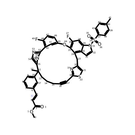 COC(=O)/C=C/c1cccc(C2(C)CCCC#Cc3nc(cs3)Cc3c(c(F)cc4c3ccn4S(=O)(=O)c3ccc(C)cc3)Oc3ccc(F)c(c3)-c3ncc2[nH]3)c1